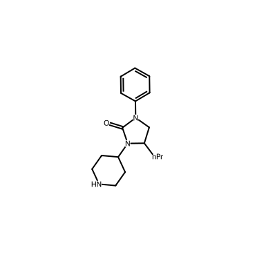 CCCC1CN(c2ccccc2)C(=O)N1C1CCNCC1